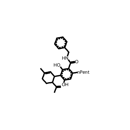 C=C(C)C1CCC(C)=CC1c1c(O)cc(CCCCC)c(C(=O)NCc2ccccc2)c1O